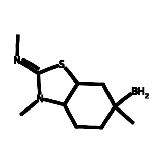 BC1(C)CCC2C(C1)S/C(=N\C)N2C